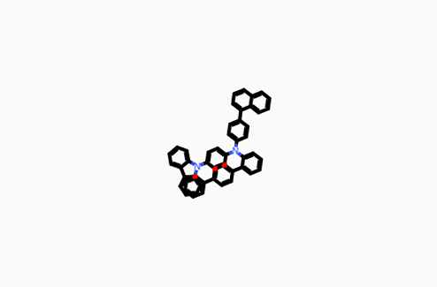 c1ccc(-c2ccc(-c3ccccc3N(c3ccc(-c4cccc5ccccc45)cc3)c3ccc(-n4c5ccccc5c5ccccc54)cc3)cc2)cc1